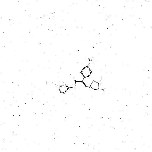 CCS(=O)(=O)c1ccc(/C(=C\[C@H]2C[C@@H](F)[C@@H](F)C2)C(=O)Nc2ccn(C)n2)cc1